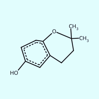 CC1(C)CCc2cc(O)ccc2O1